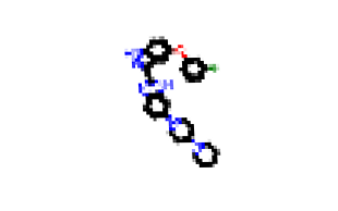 Fc1cccc(Oc2ccc3[nH]nc(-c4nc5ccc(N6CCC(N7CCCCC7)CC6)cc5[nH]4)c3c2)c1